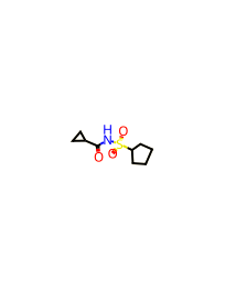 O=C(NS(=O)(=O)C1CCCC1)C1CC1